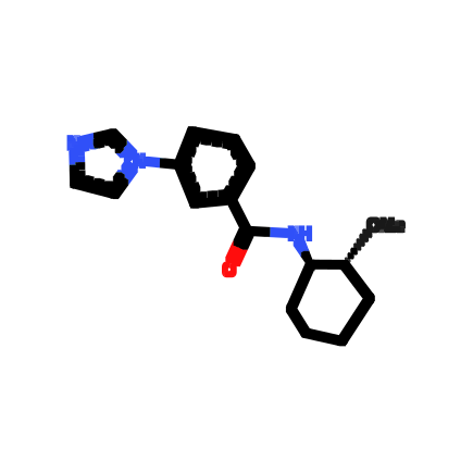 CO[C@@H]1CCCC[C@H]1NC(=O)c1cccc(-n2ccnc2)c1